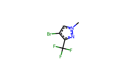 Cn1[c]c(Br)c(C(F)(F)F)n1